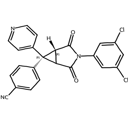 N#Cc1ccc([C@@]2(c3ccncc3)C3C(=O)N(c4cc(Cl)cc(Cl)c4)C(=O)[C@H]32)cc1